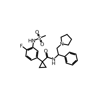 CS(=O)(=O)Nc1cc(C2(C(=O)NC(CN3CCCC3)c3ccccc3)CC2)ccc1F